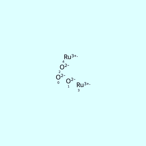 [O-2].[O-2].[O-2].[Ru+3].[Ru+3]